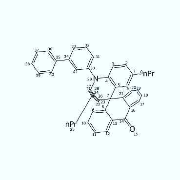 CCCc1ccc2c(c1)C1(c3ccccc3C(=O)c3ccccc31)c1cc(CCC)ccc1N2c1cccc(-c2ccccc2)c1